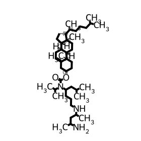 CC(C)CCC[C@@H](C)[C@H]1CC[C@H]2[C@@H]3CC=C4C[C@@H](OC(=O)N(C(C)C)C(CCCNC(C)CC(C)N)CC(C)C)CC[C@]4(C)[C@H]3CC[C@]12C